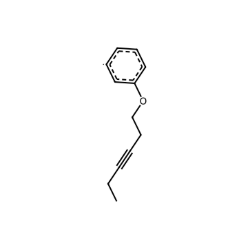 CCC#CCCOc1c[c]ccc1